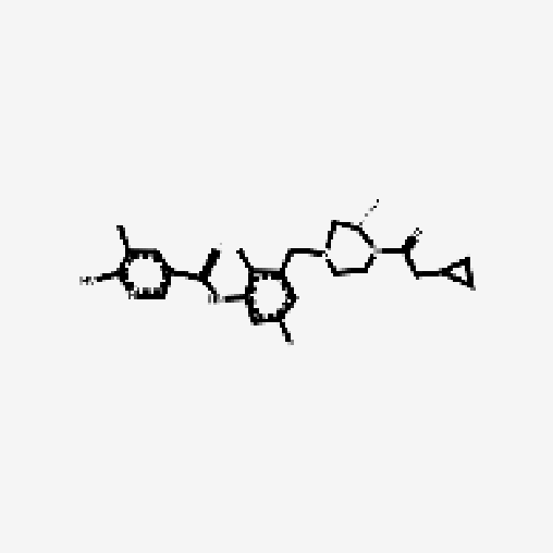 Cc1cc(C(=O)Nc2cc(Cl)cc(CN3CCN(C(=O)CC4CC4)[C@@H](C)C3)c2C)cnc1C#N